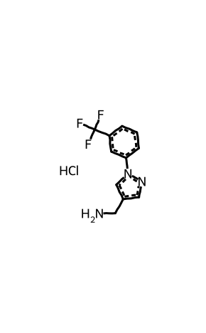 Cl.NCc1cnn(-c2cccc(C(F)(F)F)c2)c1